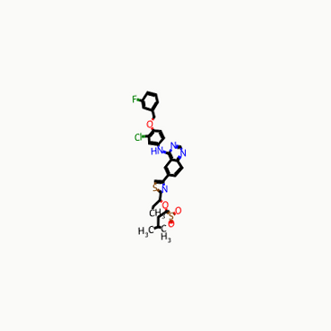 CCC(OC(CC(C)C)=S(=O)=O)c1nc(-c2ccc3ncnc(Nc4ccc(OCc5cccc(F)c5)c(Cl)c4)c3c2)cs1